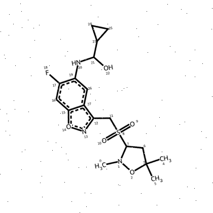 CN1OC(C)(C)CC1S(=O)(=O)Cc1noc2cc(F)c(NC(O)C3CC3)cc12